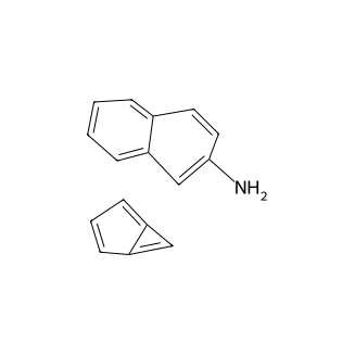 Nc1ccc2ccccc2c1.c1cc2cc-2c1